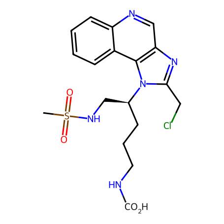 CS(=O)(=O)NC[C@H](CCCNC(=O)O)n1c(CCl)nc2cnc3ccccc3c21